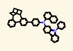 c1ccc(-n2c3ccccc3c3ccc(N(c4ccc(-c5ccc6c(c5)C5CC7CC8CC(c9ccccc9-6)C875)cc4)c4cccc5ccccc45)cc32)cc1